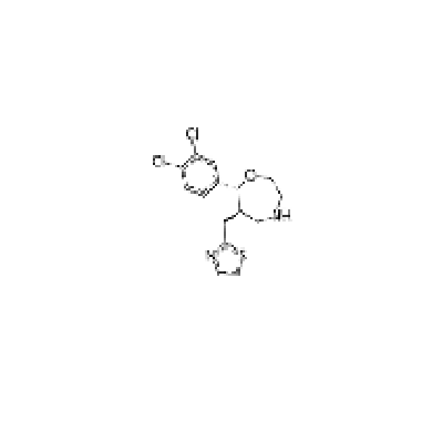 Clc1ccc([C@@H]2OCCNC[C@H]2Cc2nccs2)cc1Cl